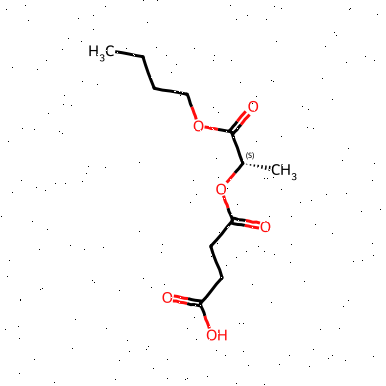 CCCCOC(=O)[C@H](C)OC(=O)CCC(=O)O